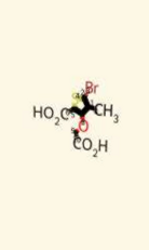 Cc1c(Br)sc(C(=O)O)c1OCC(=O)O